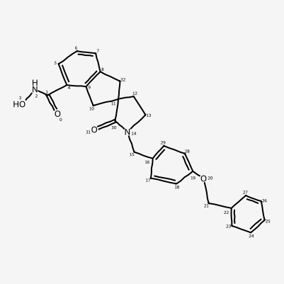 O=C(NO)c1cccc2c1CC1(CCN(Cc3ccc(OCc4ccccc4)cc3)C1=O)C2